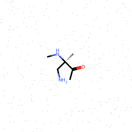 CN[C@](C)(CN)C(C)=O